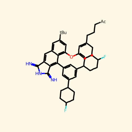 CC(=O)CCCC1=CC(Oc2cc(C(C)(C)C)cc3cc4c(c(-c5cc(C6CCC(F)CC6)cc(C6CCC(F)CC6)c5)c23)C(=N)NC4=N)=CCC1